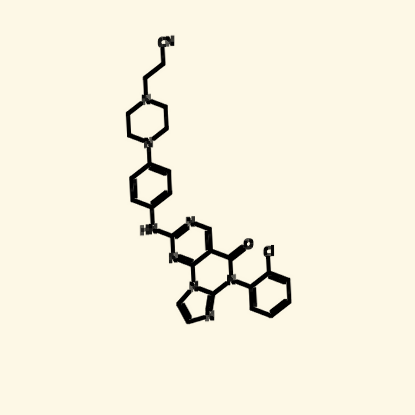 N#CCCN1CCN(c2ccc(Nc3ncc4c(=O)n(-c5ccccc5Cl)c5nccn5c4n3)cc2)CC1